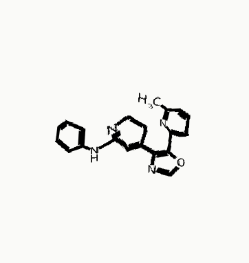 Cc1cccc(-c2ocnc2-c2ccnc(Nc3ccccc3)c2)n1